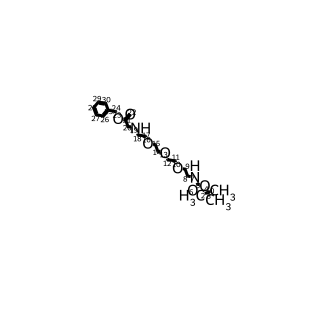 CC(C)(C)OC(=O)NCCOCCOCCOCCNCC(=O)OCc1ccccc1